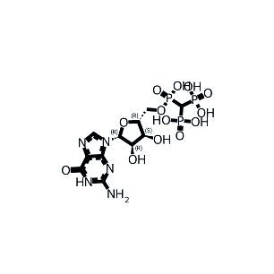 Nc1nc2c(ncn2[C@@H]2O[C@H](COP(=O)(O)C(P(=O)(O)O)P(=O)(O)O)[C@@H](O)[C@H]2O)c(=O)[nH]1